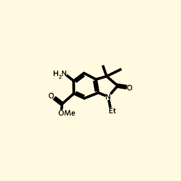 CCN1C(=O)C(C)(C)c2cc(N)c(C(=O)OC)cc21